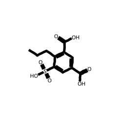 CCCc1c(C(=O)O)cc(C(=O)O)cc1S(=O)(=O)O